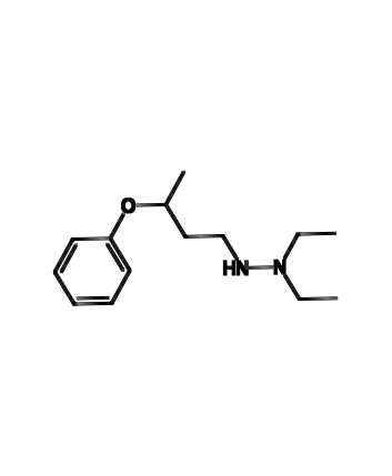 CCN(CC)NCCC(C)Oc1ccccc1